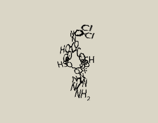 Nc1ncnc2c1ncn2C1OC2COP(=O)(S)OC3C(COP(=O)(S)OC2C1F)OC(n1cnc2cc(Cl)c(Cl)cc21)C3O